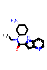 CCN(C(=O)c1cc2ncccc2[nH]1)[C@H]1CCC[C@@H](N)C1